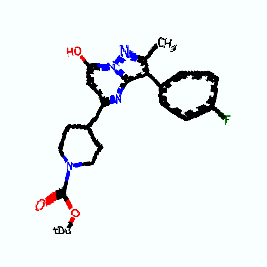 Cc1nn2c(O)cc(C3CCN(C(=O)OC(C)(C)C)CC3)nc2c1-c1ccc(F)cc1